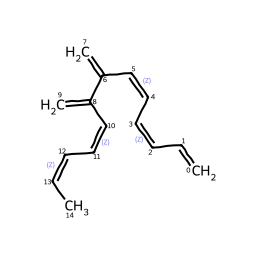 C=C/C=C\C=C/C(=C)C(=C)/C=C\C=C/C